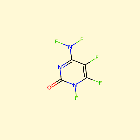 O=c1nc(N(F)F)c(F)c(F)n1F